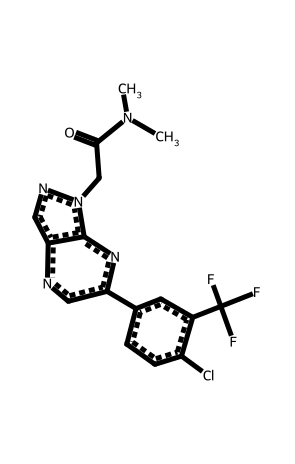 CN(C)C(=O)Cn1ncc2ncc(-c3ccc(Cl)c(C(F)(F)F)c3)nc21